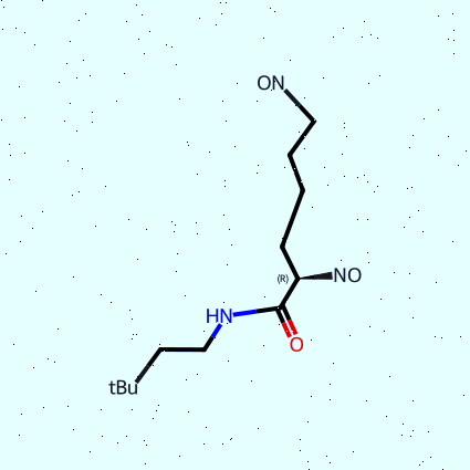 CC(C)(C)CCNC(=O)[C@@H](CCCCN=O)N=O